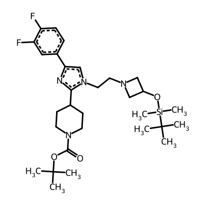 CC(C)(C)OC(=O)N1CCC(c2nc(-c3ccc(F)c(F)c3)cn2CCN2CC(O[Si](C)(C)C(C)(C)C)C2)CC1